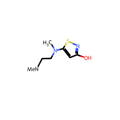 CNCCN(C)c1cc(O)ns1